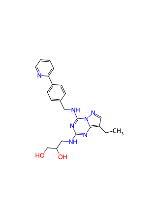 CCc1cnn2c(NCc3ccc(-c4ccccn4)cc3)nc(NCC(O)CO)nc12